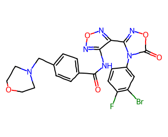 O=C(Nc1nonc1-c1noc(=O)n1-c1ccc(F)c(Br)c1)c1ccc(CN2CCOCC2)cc1